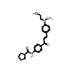 CN(CCO)c1ccc(/C=C/C(=O)c2ccc(NC(=O)C3CCCC3)cc2)cc1